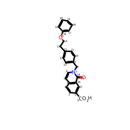 O=C(O)c1ccc2ccn(Cc3ccc(CCOc4ccccc4)cc3)c(=O)c2c1